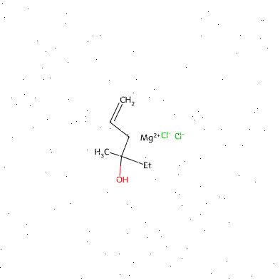 C=CCC(C)(O)CC.[Cl-].[Cl-].[Mg+2]